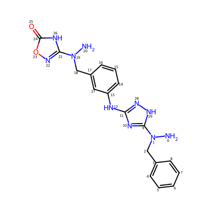 NN(Cc1ccccc1)c1nc(Nc2cccc(CN(N)c3noc(=O)[nH]3)c2)n[nH]1